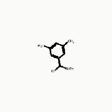 CCC(NC)c1cc(C)cc(C)c1